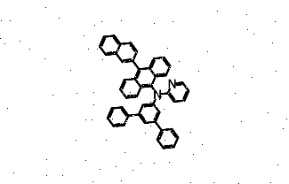 c1ccc(-c2cc(-c3ccccc3)cc(N(c3ccccn3)c3c4ccccc4c(-c4ccc5ccccc5c4)c4ccccc34)c2)cc1